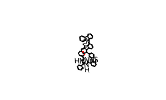 C1=CC(C2NC(c3ccccc3)NC(c3cccc4sc5ccc(-c6cccc7sc8c(-n9c%10ccccc%10c%10ccccc%109)cccc8c67)cc5c34)N2)=CCC1